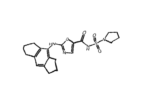 O=C(NS(=O)(=O)N1CCCC1)c1cnc(Nc2c3c(cc4c2CCC4)CCC3)o1